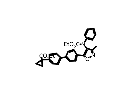 CCOC(=O)N(c1ccccc1)c1c(C)noc1-c1ccc(-c2ccc(C3(C(=O)OCC)CC3)cc2)cc1